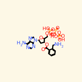 NCc1ccccc1C(=O)O[C@@H]1C[C@H](n2cnc3c(N)ncnc32)OC1COP(=O)(O)OP(=O)(O)OP(=O)(O)O